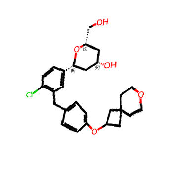 OC[C@@H]1C[C@H](O)C[C@H](c2ccc(Cl)c(Cc3ccc(OC4CC5(CCOCC5)C4)cc3)c2)O1